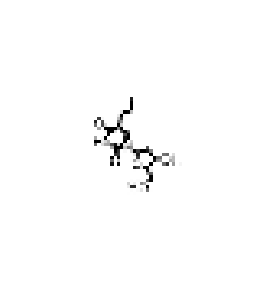 CCCc1cn(C2CC(O)C(CO)O2)c(=O)[nH]c1=O